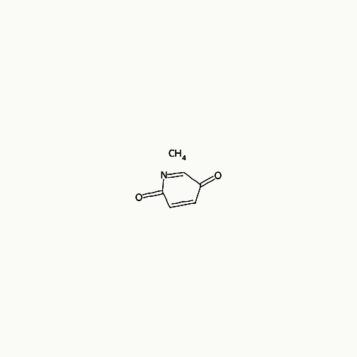 C.O=C1C=CC(=O)N=C1